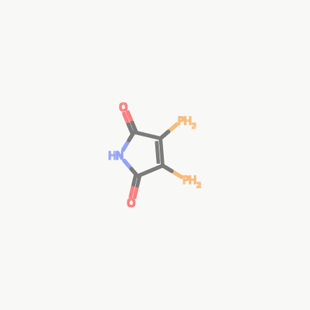 O=C1NC(=O)C(P)=C1P